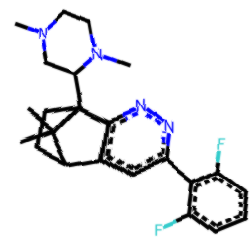 CN1CCN(C)C(C23CCC(c4cc(-c5c(F)cccc5F)nnc42)C3(C)C)C1